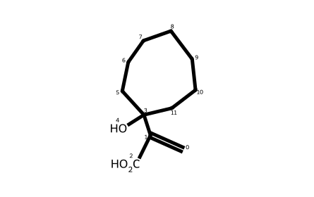 C=C(C(=O)O)C1(O)CCCCCCC1